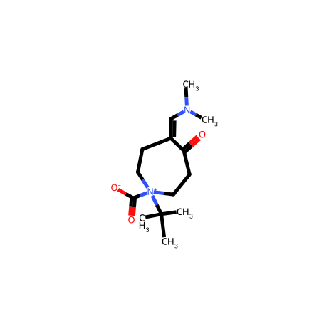 CN(C)C=C1CC[N+](C(=O)[O-])(C(C)(C)C)CCC1=O